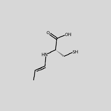 C/C=C/N[C@@H](CS)C(=O)O